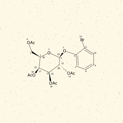 CC(=O)OC[C@H]1O[C@@H](Oc2ccccc2Br)[C@H](OC(C)=O)[C@@H](OC(C)=O)[C@H]1OC(C)=O